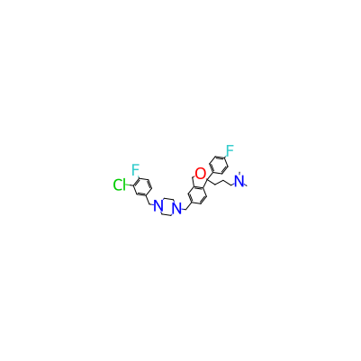 CN(C)CCCC1(c2ccc(F)cc2)OCc2cc(CN3CCN(Cc4ccc(F)c(Cl)c4)CC3)ccc21